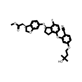 COC(=O)C[C@@H]1COc2cc(O[C@@H]3CCc4c(Oc5cc(OCCC(C)(C)O)ccc5C#N)ccc(F)c43)ccc21